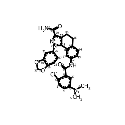 CN(C)c1ccc(Cl)c(C(=O)Nc2ccc3c(c2)-c2c(c(C(N)=O)nn2-c2ccc4c(c2)OCO4)CC3)c1